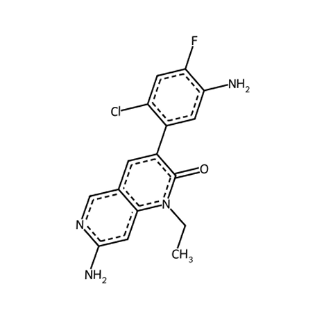 CCn1c(=O)c(-c2cc(N)c(F)cc2Cl)cc2cnc(N)cc21